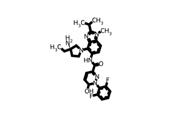 CC[C@]1(N)CCN(c2c(NC(=O)C3=NN(c4c(F)cccc4F)C(O)C=C3)ccc3c2nc(C(C)C)n3C)C1